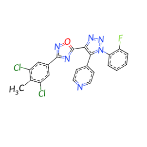 Cc1c(Cl)cc(-c2noc(-c3nnn(-c4ccccc4F)c3-c3ccncc3)n2)cc1Cl